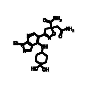 CCn1ncc2c(NC3CCS(O)(O)CC3)c(C3=NOC(CC(N)=O)(C(N)=O)C3)cnc21